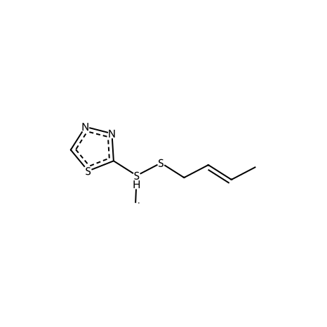 [CH2][SH](SCC=CC)c1nncs1